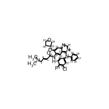 CN(C)C/C=C/C(=O)Nc1cc2c(N(c3ccccc3)c3ccc(F)c(Cl)c3)ncnc2cc1O[C@@H]1CCOC1